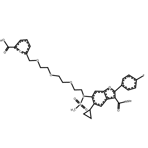 CNC(=O)c1c(-c2ccc(F)cc2)oc2cc(N(CCOCCOCCOCc3cccc(C(=O)OC)c3)S(C)(=O)=O)c(C3CC3)cc12